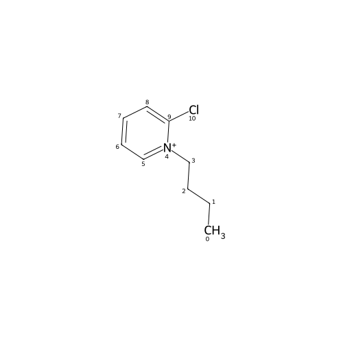 CCCC[n+]1ccccc1Cl